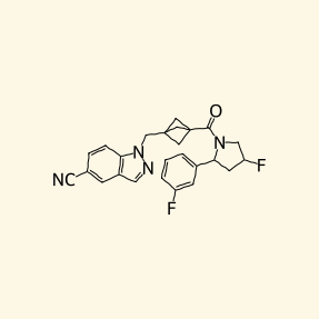 N#Cc1ccc2c(cnn2CC23CC(C(=O)N4CC(F)CC4c4cccc(F)c4)(C2)C3)c1